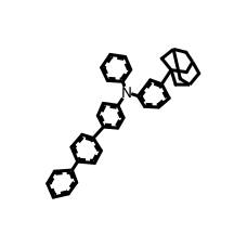 c1ccc(-c2ccc(-c3ccc(N(c4ccccc4)c4cccc(C56CC7CC(CC(C7)C5)C6)c4)cc3)cc2)cc1